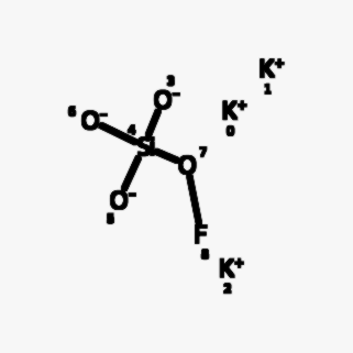 [K+].[K+].[K+].[O-][Si]([O-])([O-])OF